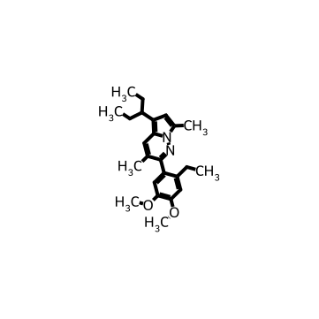 CCc1cc(OC)c(OC)cc1-c1nn2c(C)cc(C(CC)CC)c2cc1C